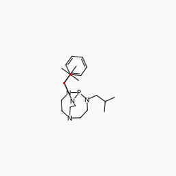 CC(C)CN1CCN2CCN(Cc3ccccc3)P1N(CC(C)(C)C)CC2